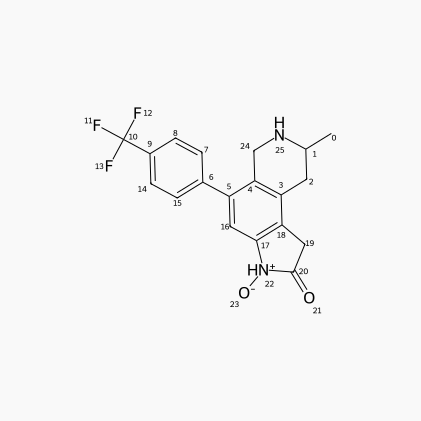 CC1Cc2c(c(-c3ccc(C(F)(F)F)cc3)cc3c2CC(=O)[NH+]3[O-])CN1